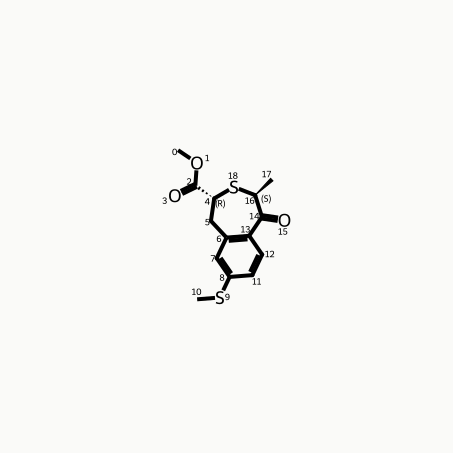 COC(=O)[C@H]1Cc2cc(SC)ccc2C(=O)[C@H](C)S1